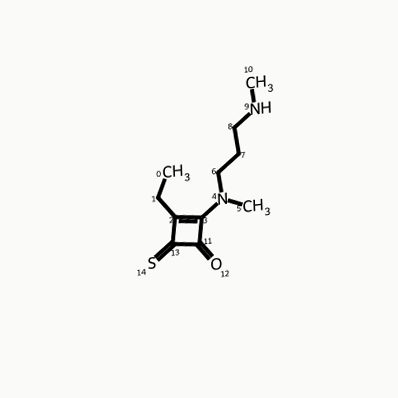 CCc1c(N(C)CCCNC)c(=O)c1=S